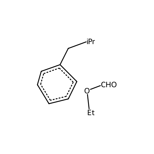 CC(C)Cc1ccccc1.CCOC=O